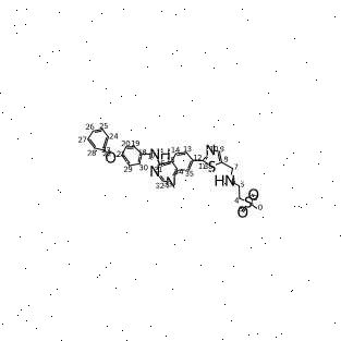 CS(=O)(=O)CCNCc1cnc(-c2ccc3c(Nc4ccc(Oc5ccccc5)cc4)ncnc3c2)s1